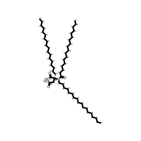 CCCCCCCCCCCCCCCCCCN(C(=O)CCCCCCCCCCCCCCCCC)[C@@](CCCCCCCCCCCCCCCCCC)(CC(=O)O)C(=O)O